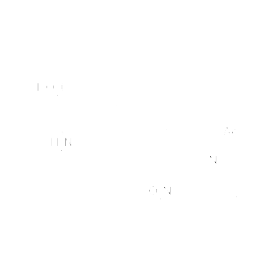 CC(=O)N(I)C(CCCC(N)C(=O)O)[N+](=O)[O-]